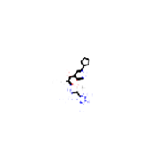 C=C(C1=NNNN1)/C(N)=N\c1oc2cnc(C3CCCC3)cc2c(=O)c1C